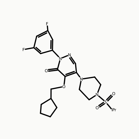 CC(C)S(=O)(=O)N1CCN(c2cnn(-c3cc(F)cc(F)c3)c(=O)c2OCC2CCCC2)CC1